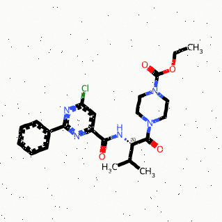 CCOC(=O)N1CCN(C(=O)[C@@H](NC(=O)c2cc(Cl)nc(-c3ccccc3)n2)C(C)C)CC1